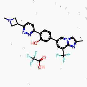 Cc1cn2cc(-c3ccc(-c4ccc(C5CN(C)C5)nn4)c(O)c3)cc(C(F)(F)F)c2n1.O=C(O)C(F)(F)F